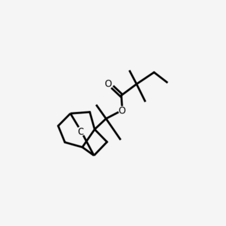 CCC(C)(C)C(=O)OC(C)(C)C12CC3CCC1C(C3)C2